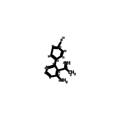 CC(=N)c1c(N)ccnc1-c1ccc(F)cc1